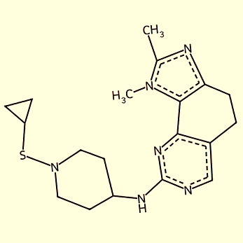 Cc1nc2c(n1C)-c1nc(NC3CCN(SC4CC4)CC3)ncc1CC2